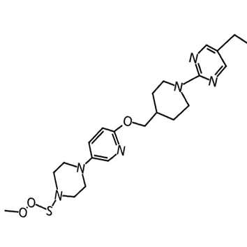 CCc1cnc(N2CCC(COc3ccc(N4CCN(SOOC)CC4)cn3)CC2)nc1